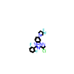 Fc1cccc(F)c1C1=Nc2c(Cl)cnn2-c2cc(N3CCC(F)(F)C3)ccc2N1